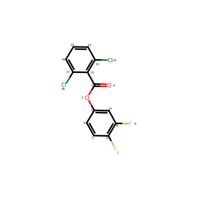 O=C(Oc1ccc(F)c(F)c1)c1c(Cl)cccc1Cl